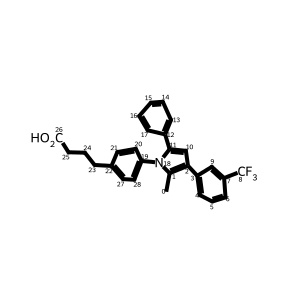 Cc1c(-c2cccc(C(F)(F)F)c2)cc(-c2ccccc2)n1-c1ccc(CCCC(=O)O)cc1